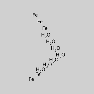 O.O.O.O.O.O.O.[Fe].[Fe].[Fe].[Fe].[Fe]